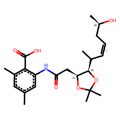 Cc1cc(C)c(C(=O)O)c(NC(=O)C[C@@H]2OC(C)(C)O[C@@H]2C(C)/C=C\C[C@@H](C)O)c1